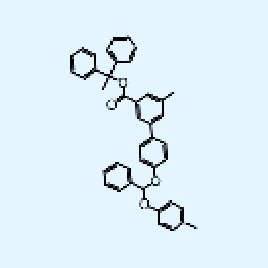 Cc1ccc(OC(Oc2ccc(-c3cc(C)cc(C(=O)OC(C)(c4ccccc4)c4ccccc4)c3)cc2)c2ccccc2)cc1